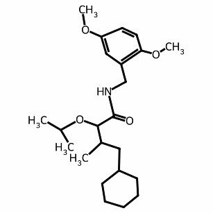 COc1ccc(OC)c(CNC(=O)C(OC(C)C)C(C)CC2CCCCC2)c1